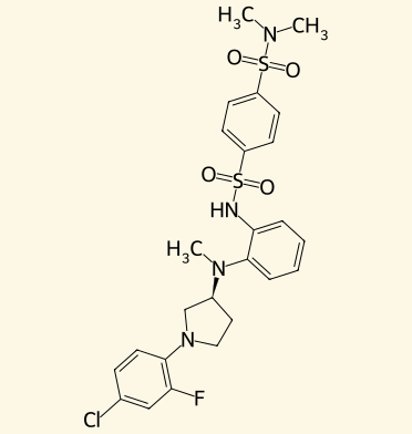 CN(c1ccccc1NS(=O)(=O)c1ccc(S(=O)(=O)N(C)C)cc1)[C@H]1CCN(c2ccc(Cl)cc2F)C1